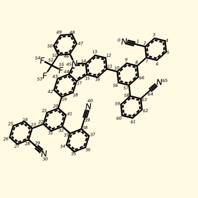 N#Cc1ccccc1-c1cc(-c2ccc3c(c2)c2cc(-c4cc(-c5ccccc5C#N)cc(-c5ccccc5C#N)c4)ccc2n3-c2ccccc2C(F)(F)F)cc(-c2ccccc2C#N)c1